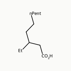 CCCCCCCC(CC)CC(=O)O